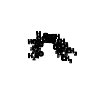 Cc1cc(C)c2ccn(C3OC(COP(=O)(O)OP(=O)(O)OCC4OC([n+]5cccc(C(N)=O)c5)C(O)C4O)C(C)C3C)c2c1